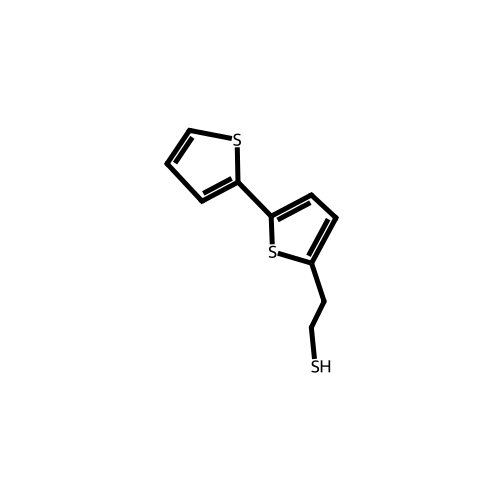 SCCc1ccc(-c2cccs2)s1